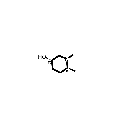 C[C@H]1CC[C@H](O)CN1I